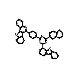 c1ccc2cc(-c3nc(-c4ccc(-c5nc6ccccc6c6oc7ccccc7c56)cc4)nc(-c4cccc5c4sc4ccccc45)n3)ccc2c1